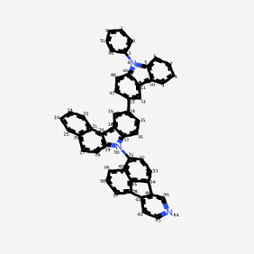 c1ccc(-n2c3ccccc3c3cc(-c4ccc5c(c4)c4c6ccccc6ccc4n5-c4ccc5c6c(cccc46)-c4ccncc4-5)ccc32)cc1